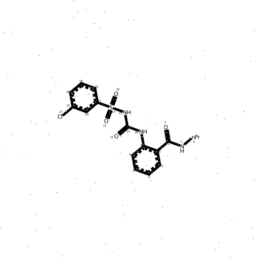 CCCNC(=O)c1ccccc1NC(=O)NS(=O)(=O)c1cccc(Cl)c1